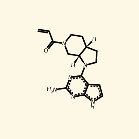 C=CC(=O)N1CC[C@@H]2CCN(c3nc(N)nc4[nH]ccc34)[C@@H]2C1